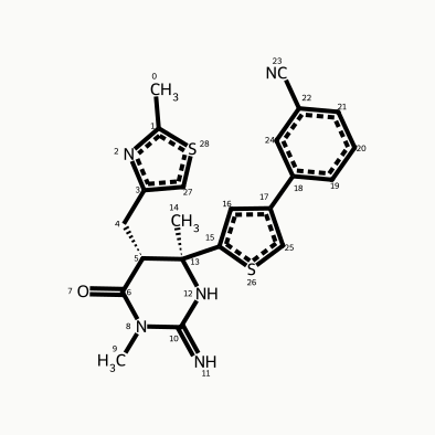 Cc1nc(C[C@H]2C(=O)N(C)C(=N)N[C@]2(C)c2cc(-c3cccc(C#N)c3)cs2)cs1